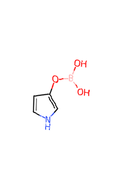 OB(O)Oc1cc[nH]c1